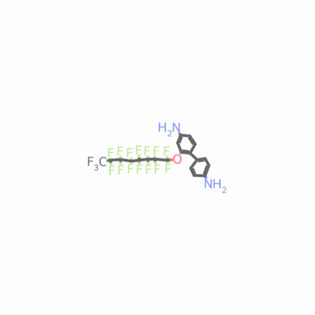 Nc1ccc(-c2ccc(N)cc2OC(F)(F)C(F)(F)C(F)(F)C(F)(F)C(F)(F)C(F)(F)C(F)(F)C(F)(F)F)cc1